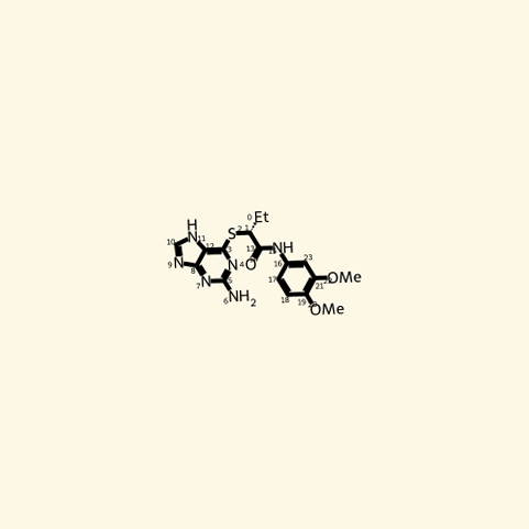 CC[C@@H](Sc1nc(N)nc2nc[nH]c12)C(=O)Nc1ccc(OC)c(OC)c1